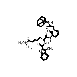 Cc1c(C(=O)N[C@@H](CC/C=C/C(=O)N(C)C)C(=O)Nc2cccn(CC(=O)NC3C4CC5CC(C4)CC3C5)c2=O)oc2ccccc12